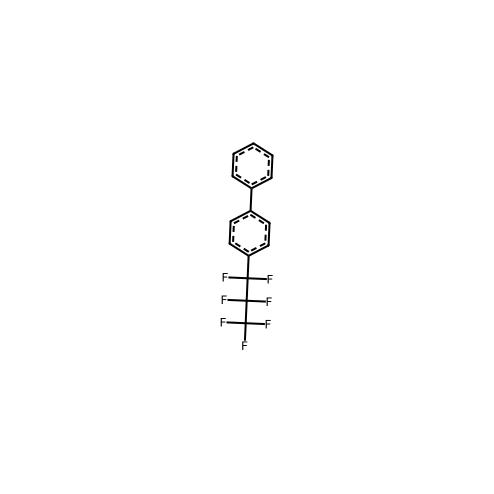 FC(F)(F)C(F)(F)C(F)(F)c1ccc(-c2ccccc2)cc1